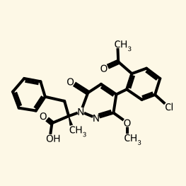 COc1nn([C@@](C)(Cc2ccccc2)C(=O)O)c(=O)cc1-c1cc(Cl)ccc1C(C)=O